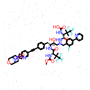 COC(=O)N[C@H](C(=O)N[C@@H](Cc1ccc(C#Cc2ccc(N3CC4COCC(C3)N4C3COC3)nc2)cc1)[C@@H](O)CN(Cc1c(F)cc(-c2ccccn2)cc1F)NC(=O)[C@@H](NC(=O)O)C(C)(C)C(F)(F)F)C(C)(C)C(F)(F)F